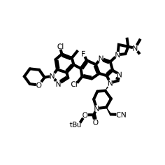 Cc1c(Cl)cc2c(cnn2C2CCCCO2)c1-c1c(Cl)cc2c(nc(N3CC(C)(N(C)C)C3)c3ncn([C@H]4CCN(C(=O)OC(C)(C)C)[C@H](CC#N)C4)c32)c1F